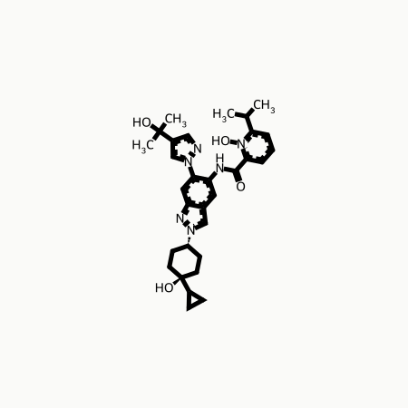 CC(C)c1cccc(C(=O)Nc2cc3cn([C@H]4CC[C@@](O)(C5CC5)CC4)nc3cc2-n2cc(C(C)(C)O)cn2)[n+]1O